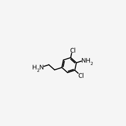 NCCc1cc(Cl)c(N)c(Cl)c1